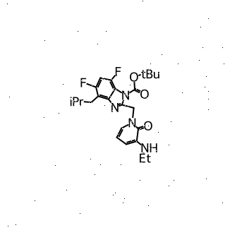 CCNc1cccn(Cc2nc3c(CC(C)C)c(F)cc(F)c3n2C(=O)OC(C)(C)C)c1=O